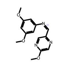 COc1cc(/N=C\c2cnc(OC)cn2)cc(OC)c1